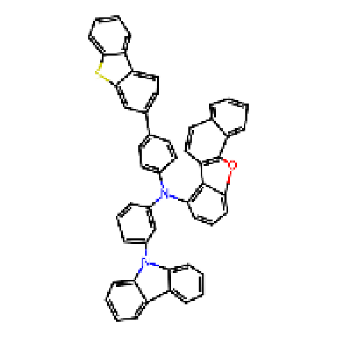 c1cc(N(c2ccc(-c3ccc4c(c3)sc3ccccc34)cc2)c2cccc3oc4c5ccccc5ccc4c23)cc(-n2c3ccccc3c3ccccc32)c1